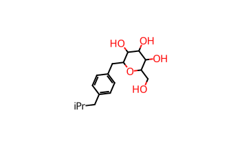 CC(C)Cc1ccc(CC2OC(CO)C(O)C(O)C2O)cc1